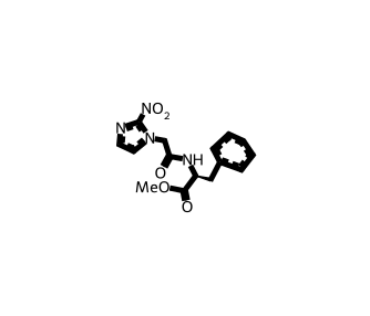 COC(=O)[C@H](Cc1ccccc1)NC(=O)Cn1ccnc1[N+](=O)[O-]